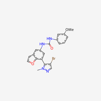 COc1cccc(NC(=O)Nc2cc(-c3c(Br)cnn3C)c3occc3c2)c1